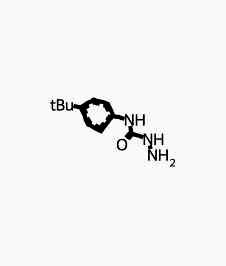 CC(C)(C)c1ccc(NC(=O)NN)cc1